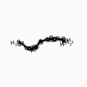 C=CC(=O)OCCCCOc1ccc(C(F)(F)Oc2ccc(C#Cc3ccc(C#Cc4ccc(C(=O)Oc5ccc(OCCNC(=O)C(=C)C)cc5)cc4)o3)cc2)cc1